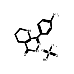 CS(=O)(=O)O.Nc1ccc(-c2n[nH]c(=O)c3c2NCCC3)cc1